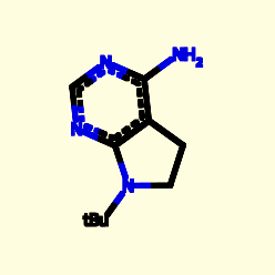 CC(C)(C)N1CCc2c(N)ncnc21